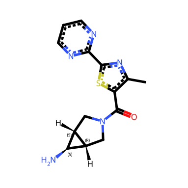 Cc1nc(-c2ncccn2)sc1C(=O)N1C[C@@H]2[C@@H](N)[C@@H]2C1